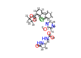 COc1nc(-c2cccc(-c3cccc(B4OC(C)(C)C(C)(C)O4)c3Cl)c2Cl)cnc1COC(=O)NC[C@@H]1CCC(=O)N1